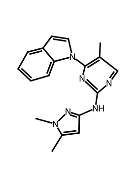 Cc1cnc(Nc2cc(C)n(C)n2)nc1-n1ccc2ccccc21